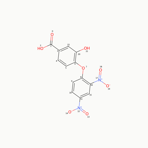 O=C(O)c1ccc(Oc2ccc([N+](=O)[O-])cc2[N+](=O)[O-])c(O)c1